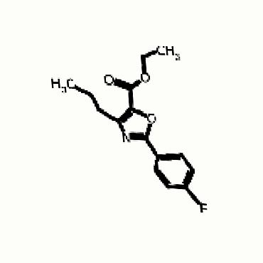 CCCc1nc(-c2ccc(F)cc2)oc1C(=O)OCC